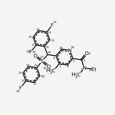 CCN(C)C(=O)c1cc(C)c(C(c2cc(F)ccc2F)S(=O)(=O)c2ccc(F)cc2)cn1